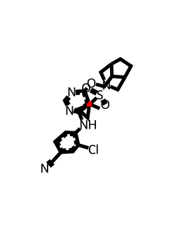 Cc1c(Nc2ccc(C#N)cc2Cl)ncnc1OCC1C2CCC1CN(S(=O)(=O)C1CC1)C2